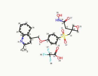 Cc1cc(COc2ccc(S(=O)(=O)CC3(CC(=O)NO)COC3)cc2)c2ccccc2n1.O=C(O)C(F)(F)F